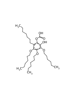 CCCCCCCc1c(OC(=O)O)c(O)c(OCCCCCC)c(OCCCCCC)c1OCCCCCC